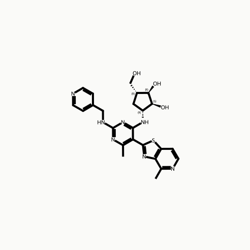 Cc1nc(NCc2ccncc2)nc(N[C@@H]2C[C@H](CO)[C@@H](O)[C@H]2O)c1-c1nc2c(C)nccc2s1